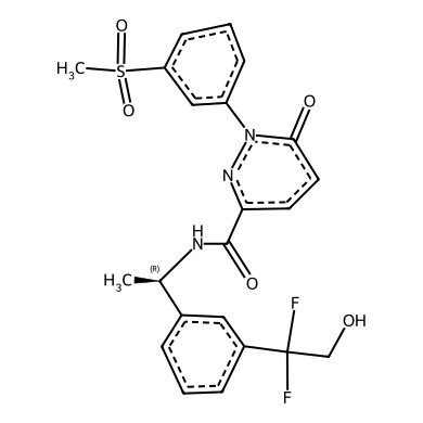 C[C@@H](NC(=O)c1ccc(=O)n(-c2cccc(S(C)(=O)=O)c2)n1)c1cccc(C(F)(F)CO)c1